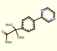 CNC(=O)C(OC)(OC)c1ccc(-c2cnccn2)cc1